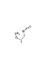 CC(CN=C=O)O[SiH3]